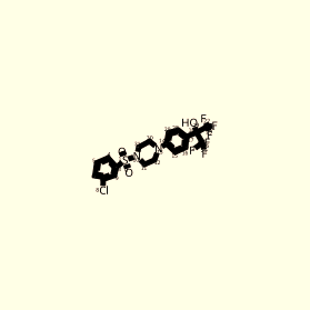 O=S(=O)(c1cccc(Cl)c1)N1CCN(c2ccc(C(O)(C(F)(F)F)C(F)(F)F)cc2)CC1